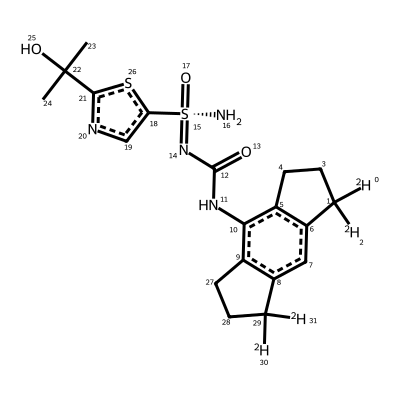 [2H]C1([2H])CCc2c1cc1c(c2NC(=O)N=[S@](N)(=O)c2cnc(C(C)(C)O)s2)CCC1([2H])[2H]